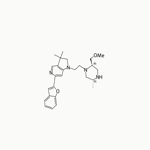 COC[C@H]1CN[C@H](C)CN1CCN1CC(C)(C)c2cnc(-c3cc4ccccc4o3)cc21